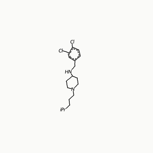 CC(C)CCCN1CCC(NCc2ccc(Cl)c(Cl)c2)CC1